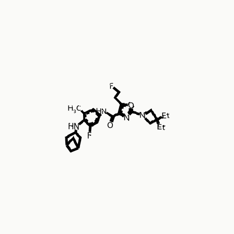 CCC1(CC)CN(c2nc(C(=O)Nc3cc(C)c(NC4CC5CC(C5)C4)c(F)c3)c(CCF)o2)C1